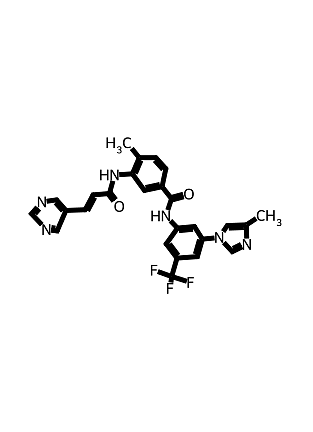 Cc1cn(-c2cc(NC(=O)c3ccc(C)c(NC(=O)C=Cc4cncnc4)c3)cc(C(F)(F)F)c2)cn1